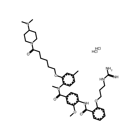 COc1cc(C(=O)N(C)c2ccc(C)cc2OCCCCCC(=O)N2CCC(N(C)C)CC2)ccc1NC(=O)c1ccccc1OCCCNC(=N)N.Cl.Cl